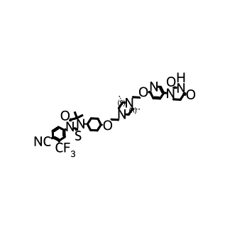 C[C@@H]1CN(CCO[C@H]2CC[C@H](N3C(=S)N(c4ccc(C#N)c(C(F)(F)F)c4)C(=O)C3(C)C)CC2)C[C@H](C)N1CCOc1ccc(N2CCC(=O)NC2=O)cn1